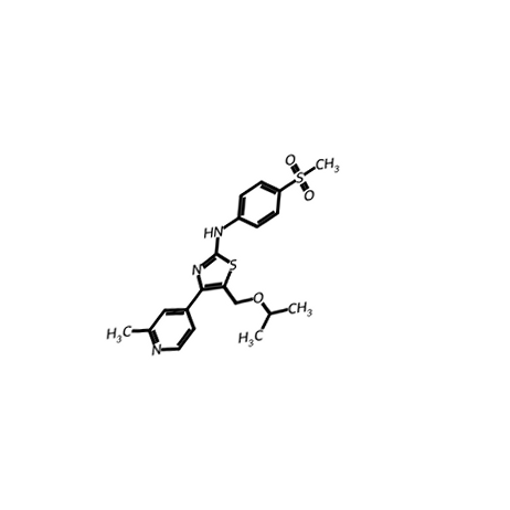 Cc1cc(-c2nc(Nc3ccc(S(C)(=O)=O)cc3)sc2COC(C)C)ccn1